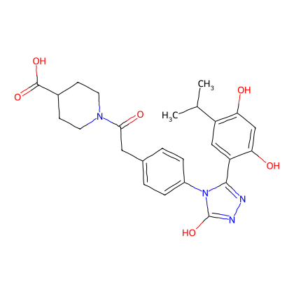 CC(C)c1cc(-c2nnc(O)n2-c2ccc(CC(=O)N3CCC(C(=O)O)CC3)cc2)c(O)cc1O